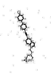 CC(C)CN(CCn1ccc2cc(C#Cc3ccc(-c4ccc(Cl)cc4)cn3)ccc21)CC1CC1